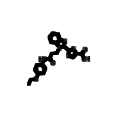 CCOc1ccc(NC(=O)CCn2c(-c3nc(C(=O)O)cs3)nc3ccccc32)cc1